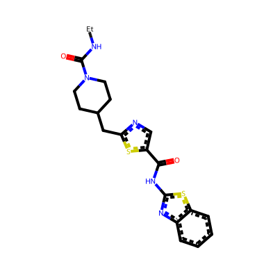 CCNC(=O)N1CCC(Cc2ncc(C(=O)Nc3nc4ccccc4s3)s2)CC1